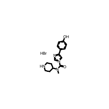 Br.CN(C(=O)n1cnc(-c2ccc(O)cc2)c1)C1CCNCC1